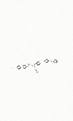 N#Cc1ccc(-c2ccc(CC(NC(=O)C3Cc4cc5c(cc4CN3Cc3ncco3)OC(c3ccc(OCc4ccc(Cl)c(Cl)c4)cc3)CO5)C(=O)O)cc2)cc1